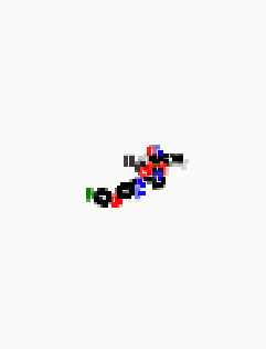 Cc1noc(C)c1S(=O)(=O)N1CCC[C@H]1C(=O)NCc1ccc(Oc2ccc(F)cc2)cc1